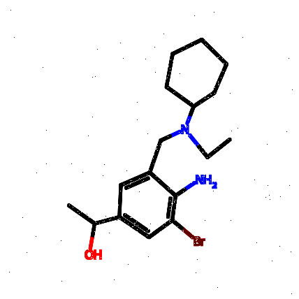 CCN(Cc1cc(C(C)O)cc(Br)c1N)C1CCCCC1